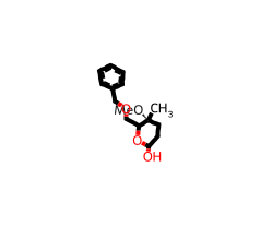 CO[C@]1(C)CCC(O)OC1COCc1ccccc1